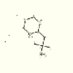 CC(C)(N)CC1OCCCO1